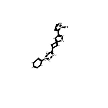 CCn1nccc1C1=NOC2(C1)CC(c1nnn(C3CCCCC3)n1)C2